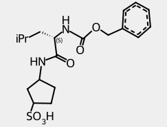 CC(C)C[C@H](NC(=O)OCc1ccccc1)C(=O)NC1CCC(S(=O)(=O)O)C1